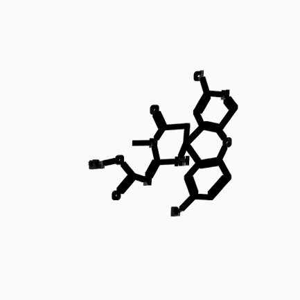 CN1C(=O)CC2(NC1=NC(=O)OC(C)(C)C)c1cc(Br)ccc1Oc1cnc(Cl)cc12